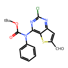 CC(C)(C)OC(=O)N(c1ccccc1)c1nc(Cl)nc2cc(C=O)sc12